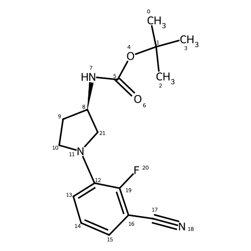 CC(C)(C)OC(=O)N[C@@H]1CCN(c2cccc(C#N)c2F)C1